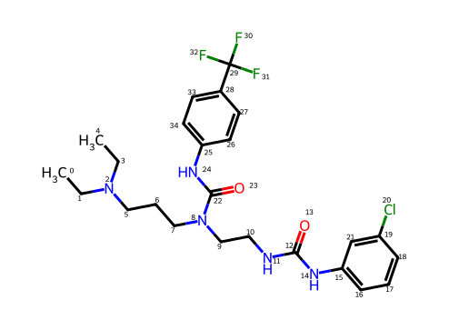 CCN(CC)CCCN(CCNC(=O)Nc1cccc(Cl)c1)C(=O)Nc1ccc(C(F)(F)F)cc1